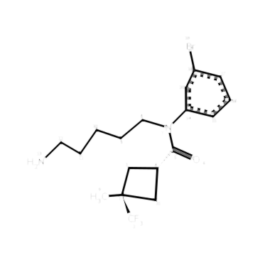 C[C@]1(C(F)(F)F)C[C@H](C(=O)N(CCCCCN)c2cccc(Br)c2)C1